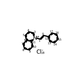 C(=C[n+]1cccc2ccccc21)c1ccccc1.[Cl-]